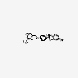 O=C(OC(CCl)COc1ccc(-c2nc3cc(Br)cnc3[nH]2)cc1)C(F)(F)F